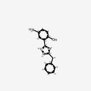 Bc1ccc(O)c(-c2nc(Cc3ccccc3)no2)c1